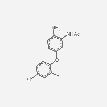 CC(=O)Nc1cc(Oc2ccc(Cl)cc2C)ccc1N